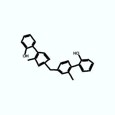 Cc1cc(Cc2ccc(-c3ccccc3O)c(C)c2)ccc1-c1ccccc1O